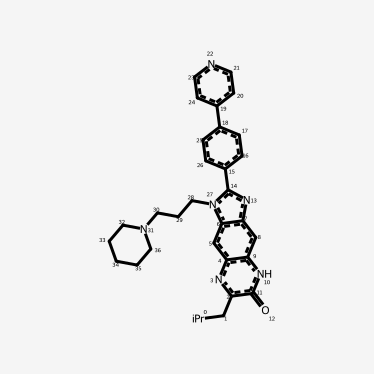 CC(C)Cc1nc2cc3c(cc2[nH]c1=O)nc(-c1ccc(-c2ccncc2)cc1)n3CCCN1CCCCC1